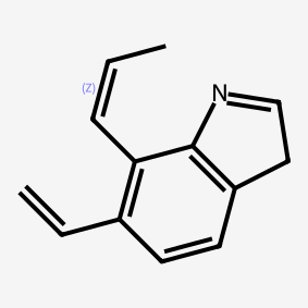 C=Cc1ccc2c(c1/C=C\C)N=CC2